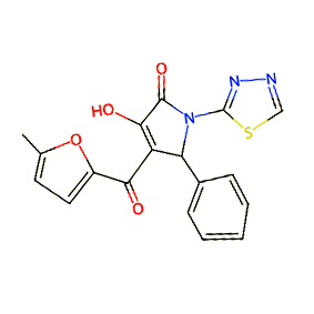 Cc1ccc(C(=O)C2=C(O)C(=O)N(c3nncs3)C2c2ccccc2)o1